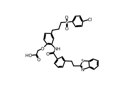 O=C(O)COc1ccc(CCCS(=O)(=O)c2ccc(Cl)cc2)cc1NC(=O)c1cccc(CCc2nc3ccccc3s2)c1